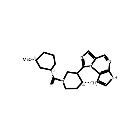 CO[C@@H]1CCC[C@H](C(=O)N2CC[C@@H](C)C(c3ncc4cnc5[nH]ccc5n34)C2)C1